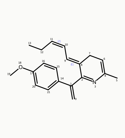 C=C(C1=NC(C)=CC/C1=C\C=C/CC)c1ccc(OC)cc1